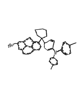 Cc1ccc(N(C2=CCC(C3(c4ccc5ccc6cc(C(C)(C)C)cc7ccc4c5c67)CCCCC3)C=C2)c2ccc(C)cc2)cc1